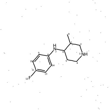 CC1CNCCC1Nc1ccc(F)cc1